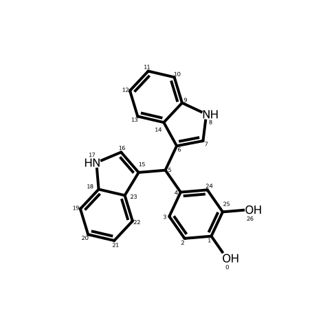 Oc1ccc(C(c2c[nH]c3ccccc23)c2c[nH]c3ccccc23)cc1O